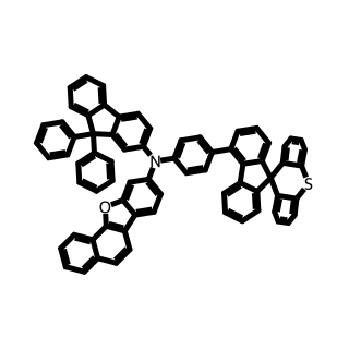 c1ccc(C2(c3ccccc3)c3ccccc3-c3ccc(N(c4ccc(-c5cccc6c5-c5ccccc5C65c6ccccc6Sc6ccccc65)cc4)c4ccc5c(c4)oc4c6ccccc6ccc54)cc32)cc1